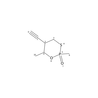 C#CC1CSP(C)(=O)OC1C